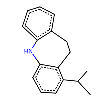 CC(C)c1cccc2c1CCc1ccccc1N2